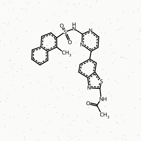 CC(=O)Nc1nc2ccc(-c3ccnc(NS(=O)(=O)c4ccc5ccccc5c4C)n3)cc2s1